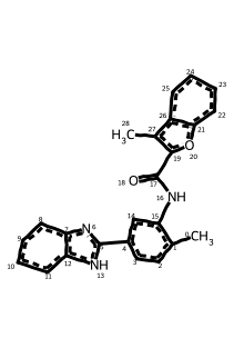 Cc1ccc(-c2nc3ccccc3[nH]2)cc1NC(=O)c1oc2ccccc2c1C